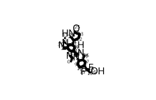 Cc1nc(N[C@H](C)c2cccc(C(F)(F)CO)c2)c2cc(-c3ccc(=O)[nH]c3)c3c(cnn3C)c2n1